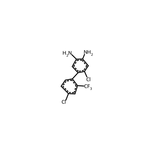 Nc1cc(Cl)c(-c2ccc(Cl)cc2C(F)(F)F)cc1N